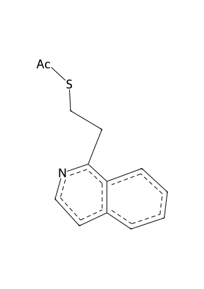 CC(=O)SCCc1nccc2ccccc12